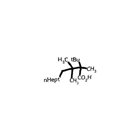 CCCCCCCCC(C)(C)C(C)(C(=O)O)C(C)(C)C